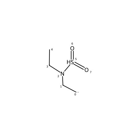 [CH2]CN(CC)[SH](=O)=O